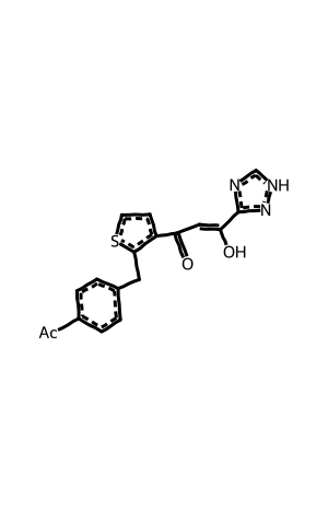 CC(=O)c1ccc(Cc2sccc2C(=O)C=C(O)c2nc[nH]n2)cc1